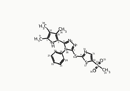 Cc1[nH]c(-c2nnc(Sc3ncc(S(C)(=O)=O)s3)n2-c2ccccc2)c(C)c1C